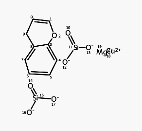 C1=COc2ccccc2C1.O=[Si]([O-])[O-].O=[Si]([O-])[O-].[Cu+2].[Mg+2]